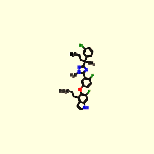 C=CCC(C)(c1cccc(Br)c1)c1nc(-c2cc(Oc3c(F)cc4[nH]ccc4c3CCC(=O)OCC)ccc2F)n(C)n1